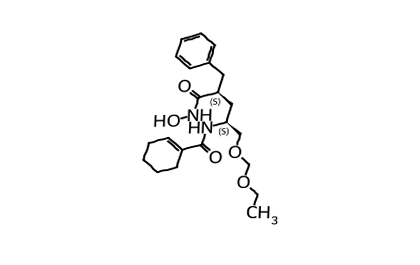 CCOCOC[C@H](C[C@H](Cc1ccccc1)C(=O)NO)NC(=O)C1=CCCCC1